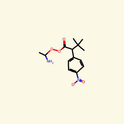 CC(N)OOC(=O)C(c1ccc([N+](=O)[O-])cc1)C(C)(C)C